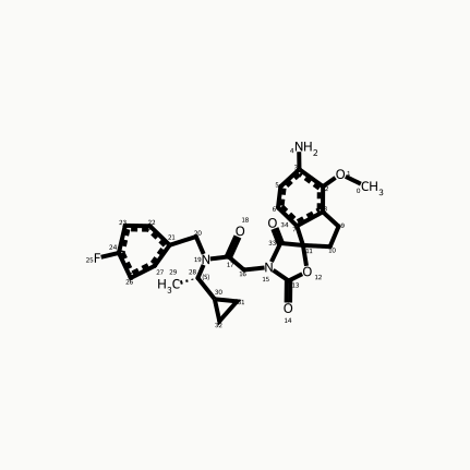 COc1c(N)ccc2c1CCC21OC(=O)N(CC(=O)N(Cc2ccc(F)cc2)[C@@H](C)C2CC2)C1=O